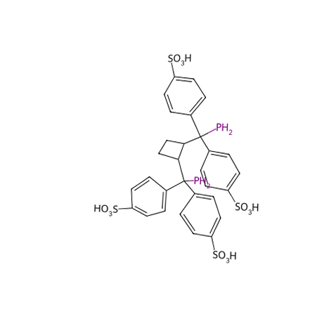 O=S(=O)(O)c1ccc(C(P)(c2ccc(S(=O)(=O)O)cc2)C2CCC2C(P)(c2ccc(S(=O)(=O)O)cc2)c2ccc(S(=O)(=O)O)cc2)cc1